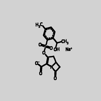 Cc1ccc(C(C)O)c(S(=O)(=O)OC2=C(C(=O)[O-])N3C(=O)CC3C2)c1.[Na+]